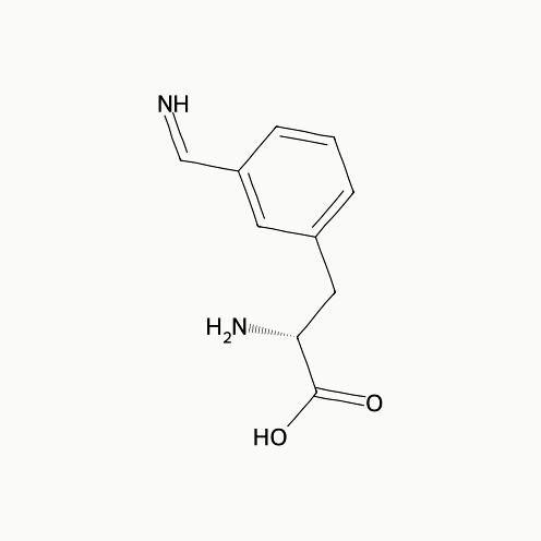 N=Cc1cccc(C[C@@H](N)C(=O)O)c1